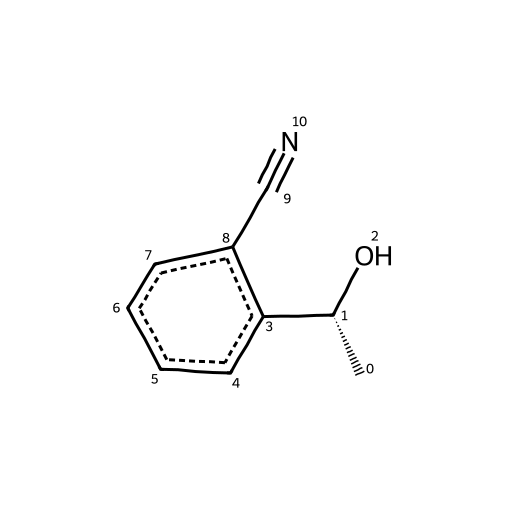 C[C@@H](O)c1ccccc1C#N